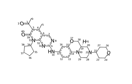 CC(=O)c1c(C)c2cnc(Nc3ccc4c(c3)OC[C@H]3CN(C5CCOCC5)CCN43)nc2n(C2CCCC2)c1=O